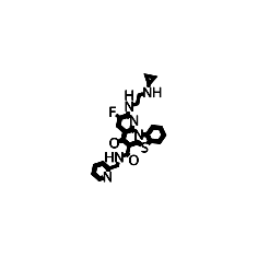 O=C(NCc1ccccn1)c1c(=O)c2cc(F)c(NCCNC3CC3)nc2n2c1sc1ccccc12